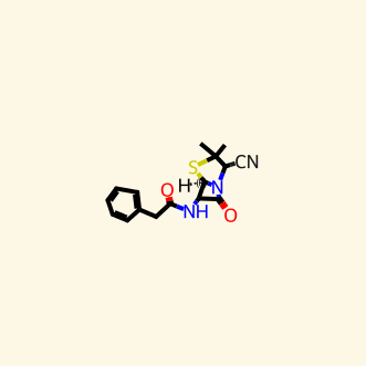 CC1(C)S[C@@H]2C(NC(=O)Cc3ccccc3)C(=O)N2C1C#N